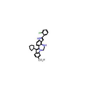 O=C(O)c1ccc2c(C3CCCCC3)c3n(c2c1)CCNc1c-3ccc2[nH]c(-c3ccccc3F)cc12